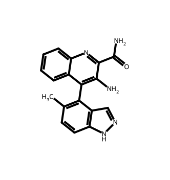 Cc1ccc2[nH]ncc2c1-c1c(N)c(C(N)=O)nc2ccccc12